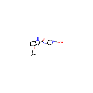 CC(C)COc1cccc2[nH]c(C(=O)NC3CCN(CCO)CC3)cc12